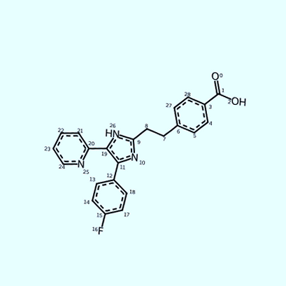 O=C(O)c1ccc(CCc2nc(-c3ccc(F)cc3)c(-c3ccccn3)[nH]2)cc1